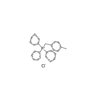 Cc1ccc(C[P+](c2ccccc2)(c2ccccc2)c2ccccc2)cc1.[Cl-]